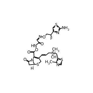 Cc1ncsc1C[N+](C)(C)C/C=C/C1=C(C(=O)ONC(=O)/C=N\OCC(F)c2csc(N)n2)N2C(=O)C[C@@H]2SC1